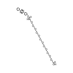 O=C(O)CCOCCOCCOCCOCCOCCOCCOCCOCCOCCOCCOCCOCCNC(=O)OCc1ccc(-c2nnc(-c3ccccc3)nn2)cc1